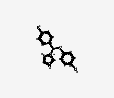 Fc1ccc(C(Sc2ccc(Cl)cc2)n2cncn2)cc1